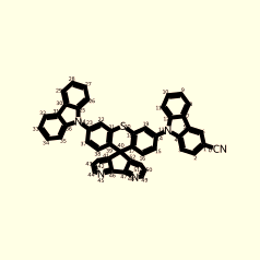 N#Cc1ccc2c(c1)c1ccccc1n2-c1ccc2c(c1)Sc1cc(-n3c4ccccc4c4ccccc43)ccc1C21c2cccnc2-c2ncccc21